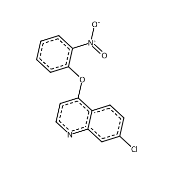 O=[N+]([O-])c1ccccc1Oc1ccnc2cc(Cl)ccc12